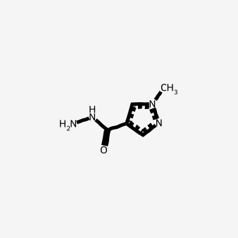 Cn1cc(C(=O)NN)cn1